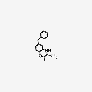 CC1=C(N)Nc2cc(Cc3ccccc3)ccc2O1